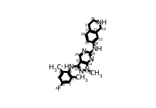 Cc1cc(F)cc(C)c1Nc1nn(C)c2nc(Nc3ccc4c(c3)CNCC4)ncc12